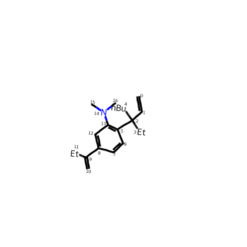 C=CC(CC)(CCCC)c1ccc(C(=C)CC)cc1N(C)C